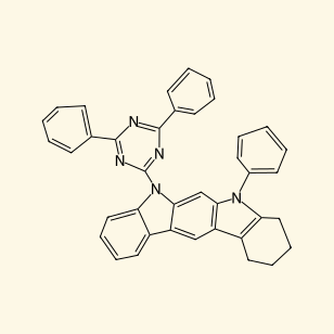 c1ccc(-c2nc(-c3ccccc3)nc(-n3c4ccccc4c4cc5c6c(n(-c7ccccc7)c5cc43)CCCC6)n2)cc1